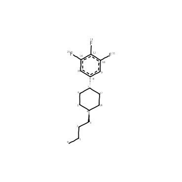 CCCC[C@H]1CC[C@H](c2cc(F)c(F)c(F)c2)CC1